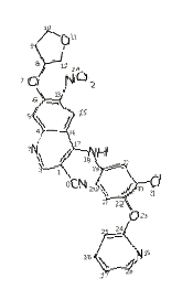 N#Cc1cnc2cc(OC3CCOC3)c([N+](=O)[O-])cc2c1Nc1ccc(Oc2ccccn2)c(Cl)c1